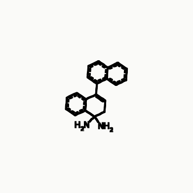 NC1(N)CC=C(c2cccc3ccccc23)c2ccccc21